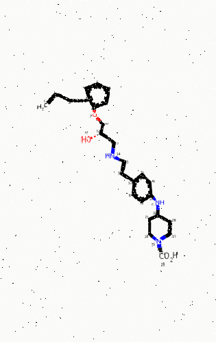 C=CCc1ccccc1OC[C@@H](O)CNCCc1ccc(NC2CCN(C(=O)O)CC2)cc1